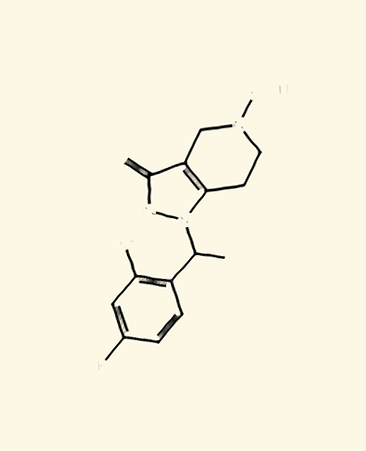 CC(c1ccc(F)cc1C(F)(F)F)n1[nH]c(=O)c2c1CCN(C(=O)O)C2